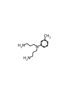 Cc1cccc(N(CCCN)CCCN)c1